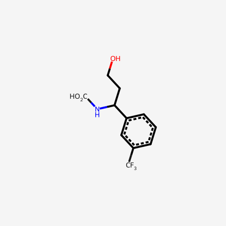 O=C(O)NC(CCO)c1cccc(C(F)(F)F)c1